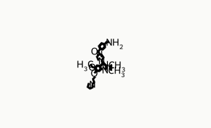 COc1cc2c(N3CCN(C(=O)c4ccc(CN)cc4)CC3)nc(N(C)C)nc2cc1OCCCN1CCCC1